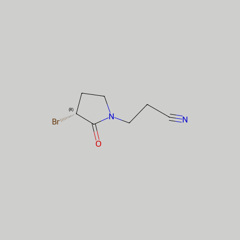 N#CCCN1CC[C@@H](Br)C1=O